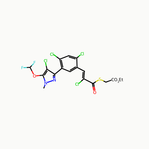 CCOC(=O)CSC(=O)C(Cl)=Cc1cc(-c2nn(C)c(OC(F)F)c2Cl)c(Cl)cc1Cl